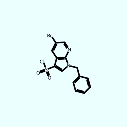 O=S(=O)(Cl)c1cn(Cc2ccccc2)c2ncc(Br)cc12